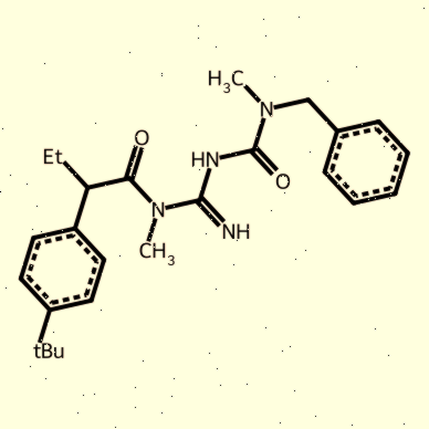 CCC(C(=O)N(C)C(=N)NC(=O)N(C)Cc1ccccc1)c1ccc(C(C)(C)C)cc1